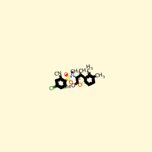 COC(=O)[C@H]([C@H](C)c1c(F)ccc(C)c1C)N(C)S(=O)(=O)c1ccc(Cl)cc1C#N